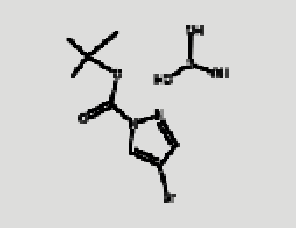 CC(C)(C)OC(=O)n1cc(Br)cn1.OB(O)O